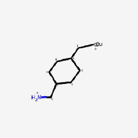 CC(C)(C)CC1CCC(CN)CC1